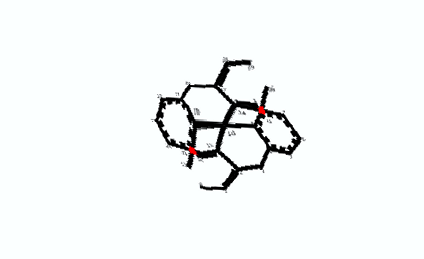 C/C=C1/Cc2ccccc2C2(/C1=C/C)C(=C/C)/C(=C\C)Cc1ccccc12